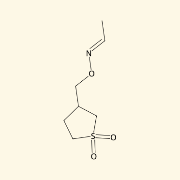 CC=NOCC1CCS(=O)(=O)C1